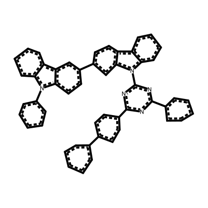 c1ccc(-c2ccc(-c3nc(-c4ccccc4)nc(-n4c5ccccc5c5ccc(-c6ccc7c(c6)c6ccccc6n7-c6ccccc6)cc54)n3)cc2)cc1